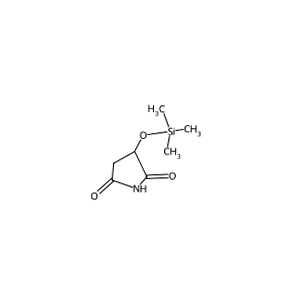 C[Si](C)(C)OC1CC(=O)NC1=O